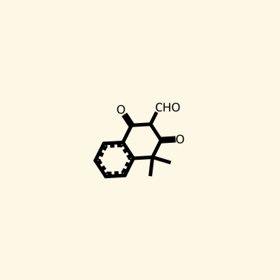 CC1(C)C(=O)C(C=O)C(=O)c2ccccc21